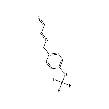 FC(F)(F)Oc1ccc(CN=CC=S)cc1